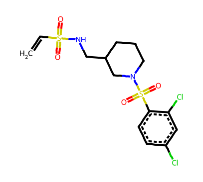 C=CS(=O)(=O)NCC1CCCN(S(=O)(=O)c2ccc(Cl)cc2Cl)C1